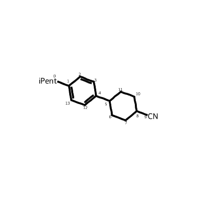 CCCC(C)c1ccc(C2CCC(C#N)CC2)cc1